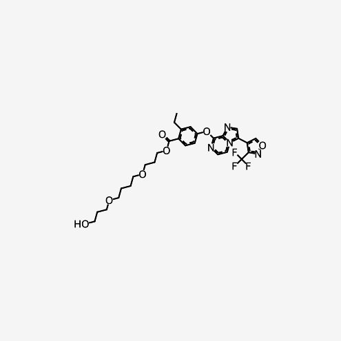 CCc1cc(Oc2nccn3c(-c4conc4C(F)(F)F)cnc23)ccc1C(=O)OCCCOCCCCOCCCO